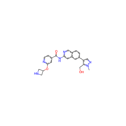 Cn1ncc(-c2ccc3cnc(NC(=O)c4ccnc(OC5CNC5)c4)cc3c2)c1CO